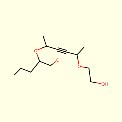 CCCC(CO)OC(C)C#CC(C)OCCO